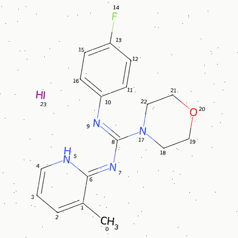 Cc1ccc[nH]c1=NC(=Nc1ccc(F)cc1)N1CCOCC1.I